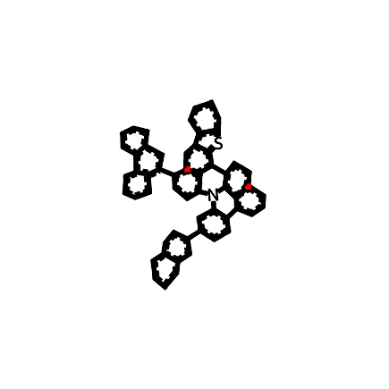 c1ccc(-c2ccc(-c3ccc4ccccc4c3)cc2N(c2ccc(-c3cc4ccccc4c4ccccc34)cc2)c2ccccc2-c2cccc3c2sc2ccccc23)cc1